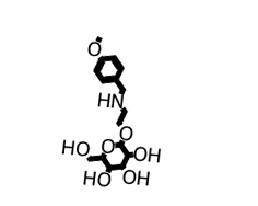 COc1ccc(CNCCOC2OC(CO)C(O)C(O)C2O)cc1